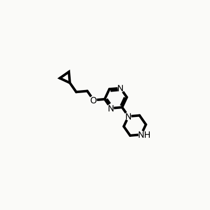 c1ncc(N2CCNCC2)nc1OCCC1CC1